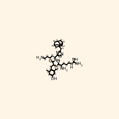 Cc1cc(O)cc(C)c1CC(NC(=O)C(N)CCCNC(=N)N)C(=O)N[C@@H](CCCCN)c1nc(CC23CC4CC(CC(C4)C2)C3)no1